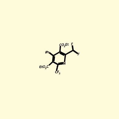 CCOC(=O)c1c(C(F)F)nc(C(F)(F)F)c(C(=O)OCC)c1C(C)C